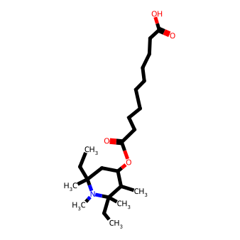 CCC1(C)CC(OC(=O)CCCCCCCCC(=O)O)C(C)C(C)(CC)N1C